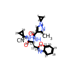 Cc1nn(C2CC2)cc1C(=O)N[C@@H](Cc1nc2ccccc2o1)C(=O)NC1(C#N)CC1